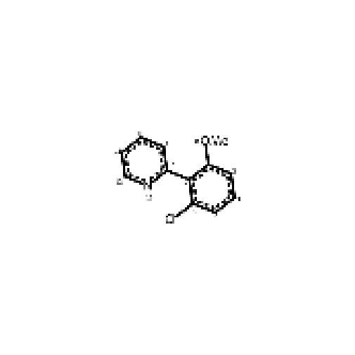 COc1cccc(Cl)c1-c1ccccn1